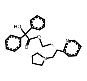 O=C(OCC[C@@H](CN1CCCC1)c1ccccn1)C(O)(c1ccccc1)c1ccccc1